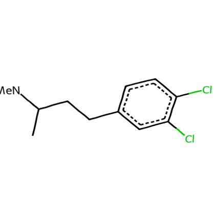 CNC(C)CCc1ccc(Cl)c(Cl)c1